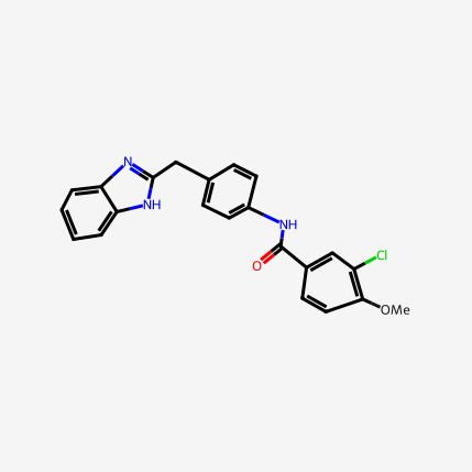 COc1ccc(C(=O)Nc2ccc(Cc3nc4ccccc4[nH]3)cc2)cc1Cl